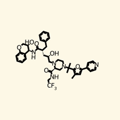 Cc1cc(-c2ccncc2)oc1C(C)(C)N1CCN(C[C@@H](O)C[C@@H](Cc2ccccc2)C(=O)N[C@H]2c3ccccc3OC[C@H]2O)[C@H](C(=O)NCC(F)(F)F)C1